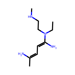 CCN(CCNC)/C(N)=C/C=C(/C)N